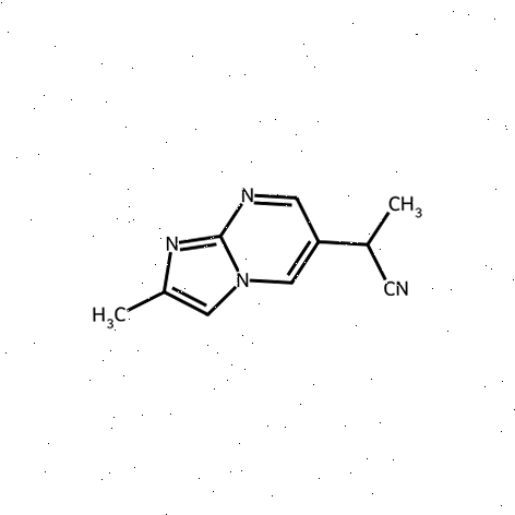 Cc1cn2cc(C(C)C#N)cnc2n1